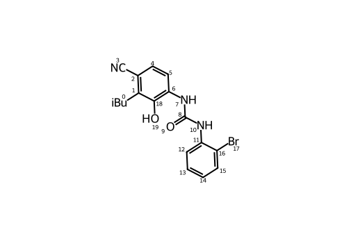 CCC(C)c1c(C#N)ccc(NC(=O)Nc2ccccc2Br)c1O